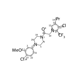 COc1cc(N2CCN(C(=O)Cn3cc(C(C)C)c(Cl)c3C(F)(F)F)CC2)ccc1Cl